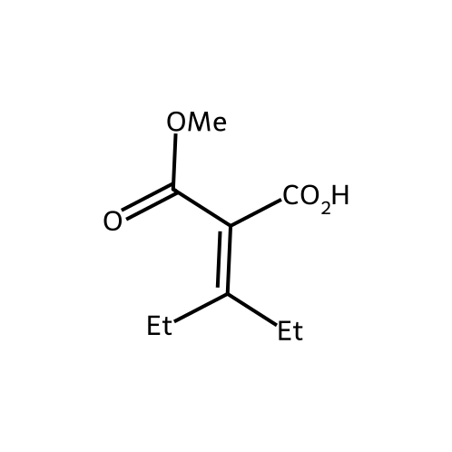 CCC(CC)=C(C(=O)O)C(=O)OC